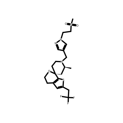 C[C@H]1C[C@@]2(CCN1Cc1cnn(CCS(C)(=O)=O)c1)OCCc1cc(CC(F)(F)F)sc12